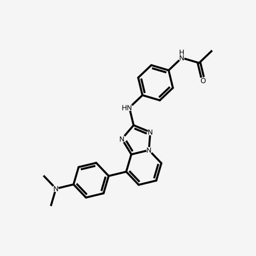 CC(=O)Nc1ccc(Nc2nc3c(-c4ccc(N(C)C)cc4)cccn3n2)cc1